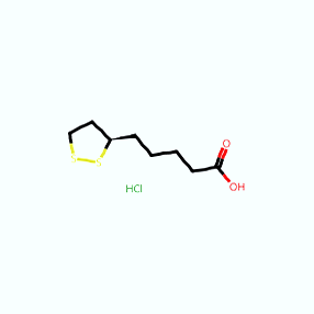 Cl.O=C(O)CCCC[C@@H]1CCSS1